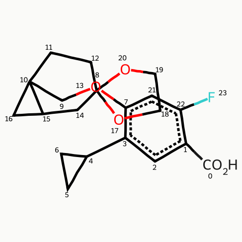 O=C(O)c1cc(C2CC2)c(OCC23CCC4(CC2C3)OCCO4)cc1F